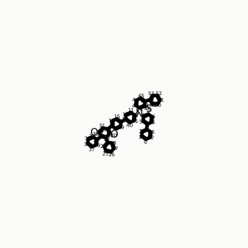 c1ccc(-c2cccc(N(c3ccc(-c4ccc5c(c4)oc4c(-c6ccccc6)c6c(cc45)oc4ccccc46)cc3)c3cccc4c3sc3ccccc34)c2)cc1